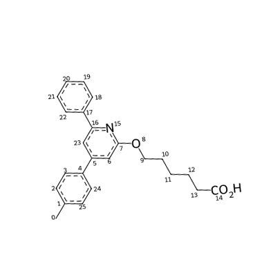 Cc1ccc(-c2cc(OCCCCCC(=O)O)nc(-c3ccccc3)c2)cc1